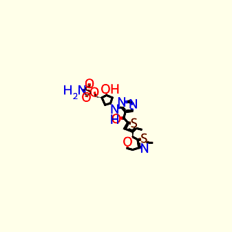 Cc1nc2c(s1)[C@H](c1cc(C(=O)c3cncnc3N[C@@H]3C[C@H](COS(N)(=O)=O)[C@@H](O)C3)sc1C)OCC2